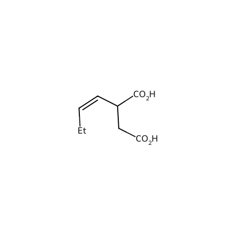 CC/C=C\C(CC(=O)O)C(=O)O